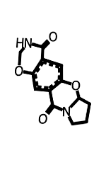 O=C1NCOc2cc3c(cc21)OC1CCCN1C3=O